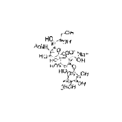 CC(=O)N[C@H]1[C@H]([C@H](O)[C@H](O)CO)OC(C(=O)[O-])(C2(O)O[C@H](CO)[C@@H](O[C@@H]3O[C@H](CO)[C@H](O)[C@H](O)[C@H]3O)[C@H](O)[C@H]2O)C[C@@H]1O.[Na+]